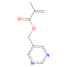 C=C(C)C(=O)OCc1cncnc1